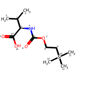 CC(C)[C@@H](NC(=O)OCC[Si](C)(C)C)C(=O)O